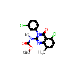 CCN(C(=O)OC(C)(C)C)c1nc2c(C)ccc(Cl)c2c(=O)n1-c1cccc(Cl)c1